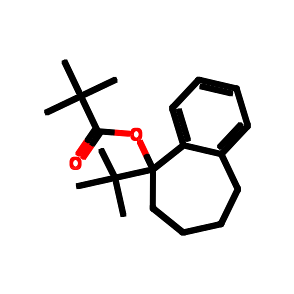 CC(C)(C)C(=O)OC1(C(C)(C)C)CCCCc2ccccc21